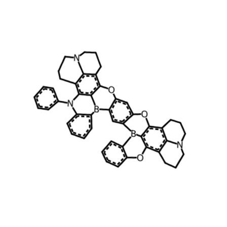 c1ccc(N2c3ccccc3B3c4cc5c(cc4Oc4c6c7c(c2c43)CCCN7CCC6)Oc2c3c4c(c6c2B5c2ccccc2O6)CCCN4CCC3)cc1